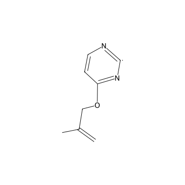 C=C(C)COc1ccn[c]n1